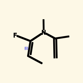 C=C(C)N(C)/C(F)=C\C